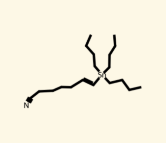 CCC[CH2][Sn](/[CH]=C/CCCCC#N)([CH2]CCC)[CH2]CCC